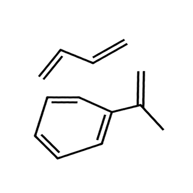 C=C(C)c1ccccc1.C=CC=C